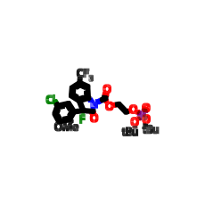 COc1ccc(Cl)cc1[C@]1(F)C(=O)N(C(=O)OCCOP(=O)(OC(C)(C)C)OC(C)(C)C)c2cc(C(F)(F)F)ccc21